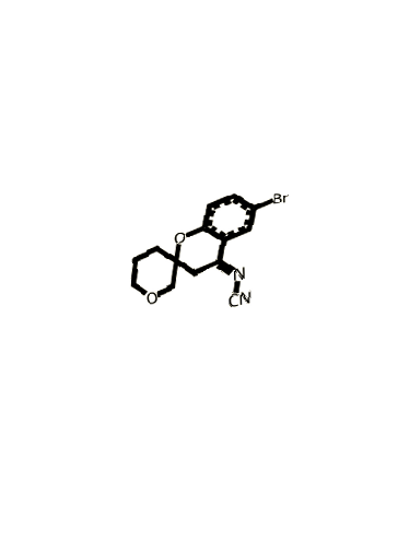 N#CN=C1CC2(CCCOC2)Oc2ccc(Br)cc21